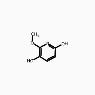 COc1nc(O)ccc1O